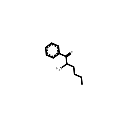 CCCCC(N)C(=O)c1ccccc1